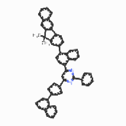 CC1(C)c2cc(-c3ccc(-c4cc(-c5ccc(-c6cccc7ccccc67)cc5)nc(-c5ccccc5)n4)c4ccccc34)ccc2-c2cc3ccccc3cc21